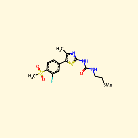 CSCCNC(=O)Nc1nc(C)c(-c2ccc(S(C)(=O)=O)c(F)c2)s1